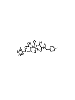 Cc1ccc(CNC(=O)NC2C(=O)N3C(C(=O)O)=C(CSc4nnnn4C)CS[C@@H]23)cc1